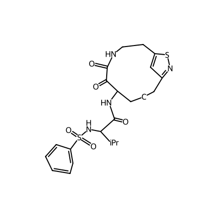 CC(C)C(NS(=O)(=O)c1ccccc1)C(=O)NC1CCCc2cc(sn2)CCNC(=O)C1=O